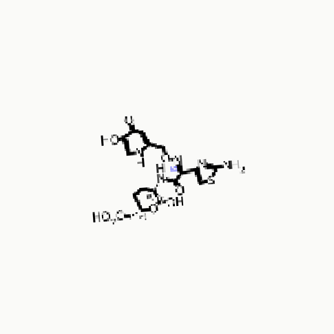 Nc1nc(/C(=N/OCc2cc(=O)c(O)c[nH]2)C(=O)N[C@H]2CC[C@@H](CC(=O)O)OB2O)cs1